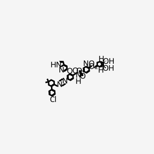 CC1(C)CCC(CN2CCN(c3ccc(C(=O)NS(=O)(=O)c4ccc(OCC5C[C@@H]6C[C@H]5[C@H](O)[C@H]6O)c([N+](=O)[O-])c4)c(Oc4cnc5[nH]ccc5c4)c3)CC2)=C(c2ccc(Cl)cc2)C1